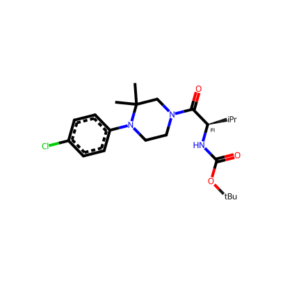 CC(C)[C@@H](NC(=O)OC(C)(C)C)C(=O)N1CCN(c2ccc(Cl)cc2)C(C)(C)C1